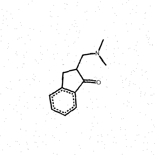 CN(C)CC1Cc2ccccc2C1=O